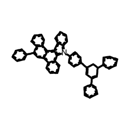 C1=C(c2ccccc2)C=C(c2ccc(-n3c4ccccc4c4c5c6ccccc6c(-c6ccccc6)cc5c5ccccc5c43)cc2)CC1c1ccccc1